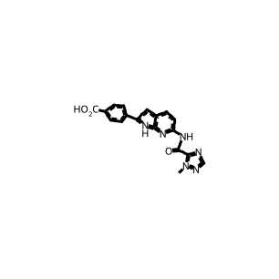 Cn1ncnc1C(=O)Nc1ccc2cc(-c3ccc(C(=O)O)cc3)[nH]c2n1